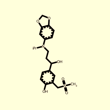 CC(C)N(CCC(O)c1ccc(O)c(CS(C)(=O)=O)c1)c1ccc2c(c1)OCO2